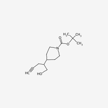 C#CCC(CO)C1CCN(C(=O)OC(C)(C)C)CC1